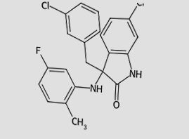 Cc1ccc(F)cc1NC1(Cc2cccc(Cl)c2)C(=O)Nc2cc(Cl)ccc21